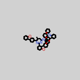 CC1=C(c2ccc3c(c2)oc2ccccc23)N=C(c2cccc3oc4ccc(-c5ccc6c(c5)c5ccccc5n6-c5ccccc5)cc4c23)N=C(n2c3ccccc3c3ccccc32)C1